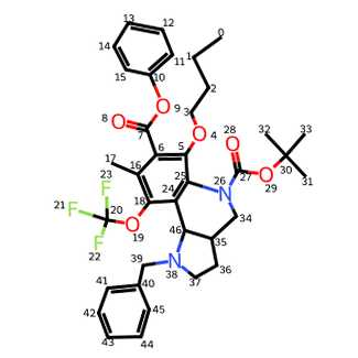 CCCCOc1c(C(=O)Oc2ccccc2)c(C)c(OC(F)(F)F)c2c1N(C(=O)OC(C)(C)C)CC1CCN(Cc3ccccc3)C21